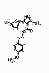 COc1ccc(CCNC(=O)c2c(-c3ccc(Br)s3)noc2N)cc1